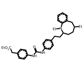 CCOC(=O)Cc1ccc(NC(=O)Nc2ccc(CCC3CCC(CC)Cc4ccccc4N3CC)cc2)cc1